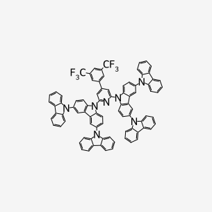 FC(F)(F)c1cc(-c2cc(-n3c4ccc(-n5c6ccccc6c6ccccc65)cc4c4cc(-n5c6ccccc6c6ccccc65)ccc43)nc(-n3c4ccc(-n5c6ccccc6c6ccccc65)cc4c4cc(-n5c6ccccc6c6ccccc65)ccc43)c2)cc(C(F)(F)F)c1